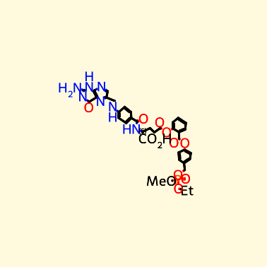 CCOP(=O)(OC)OCc1ccc(OC(=O)c2ccccc2OC(=O)CC[C@H](NC(=O)c2ccc(NCc3cnc4[nH]c(N)nc(=O)c4n3)cc2)C(=O)O)cc1